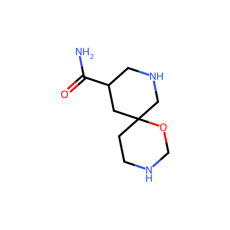 NC(=O)C1CNCC2(CCNCO2)C1